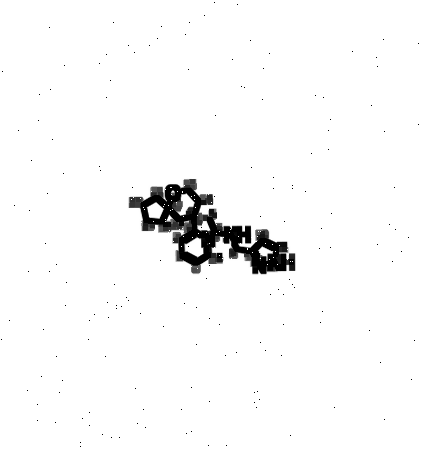 c1ccc([C@]2(CCNCc3cc[nH]n3)CCOC3(CCCC3)C2)nc1